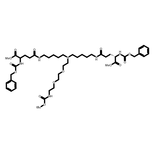 COC(=O)C(CCC(=O)NCCCCCN(CCCCCNC(=O)CC[C@H](NC(=O)OCc1ccccc1)C(=O)OC)CCOCCOCCNC(=O)OC(C)(C)C)NC(=O)OCc1ccccc1